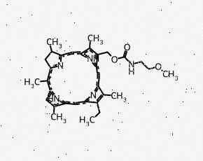 CCC1=C(C)c2cc3[nH]c(cc4nc(c(C)c5cc(C)c(cc1n2)[nH]5)CC4C)c(C)c3COC(=O)NCCOC